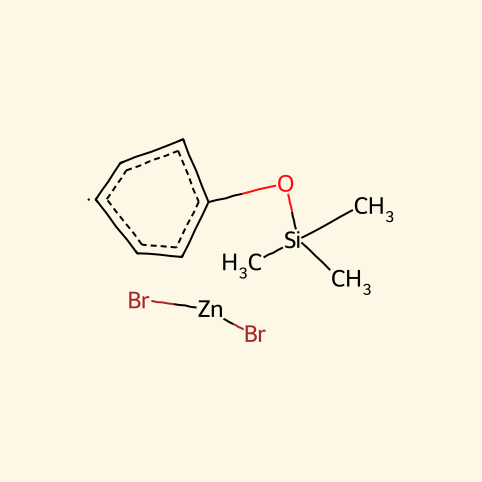 C[Si](C)(C)Oc1cc[c]cc1.[Br][Zn][Br]